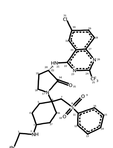 CC(C)CNC1CCC(CS(=O)(=O)c2ccccc2)(N2CC[C@H](Nc3nc(C(F)(F)F)nc4ccc(Cl)cc34)C2=O)CC1